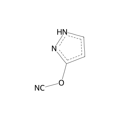 N#COc1cc[nH]n1